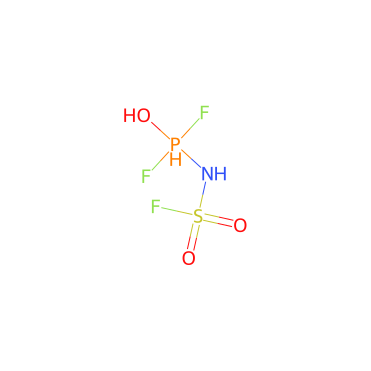 O=S(=O)(F)N[PH](O)(F)F